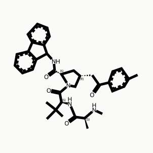 CN[C@@H](C)C(=O)N[C@H](C(=O)N1C[C@@H](CC(=O)c2ccc(C)cc2)C[C@H]1C(=O)NC1c2ccccc2-c2ccccc21)C(C)(C)C